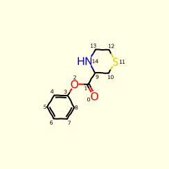 O=C(Oc1ccccc1)C1CSCCN1